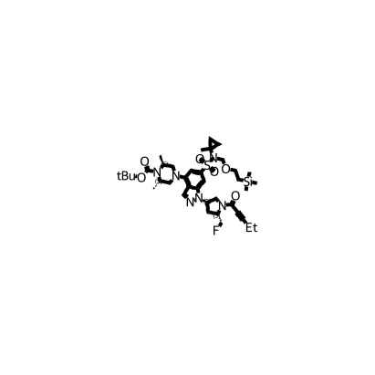 CCC#CC(=O)N1C[C@H](n2ncc3c(N4C[C@H](C)N(C(=O)OC(C)(C)C)[C@@H](C)C4)cc(S(=O)(=O)N(COCC[Si](C)(C)C)C4(C)CC4)cc32)C[C@H]1CF